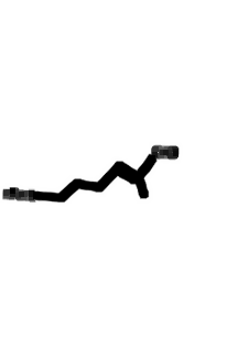 CCCCCCCC/C=C(\C)C=O